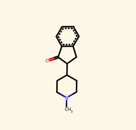 CN1CCC(C2Cc3ccccc3C2=O)CC1